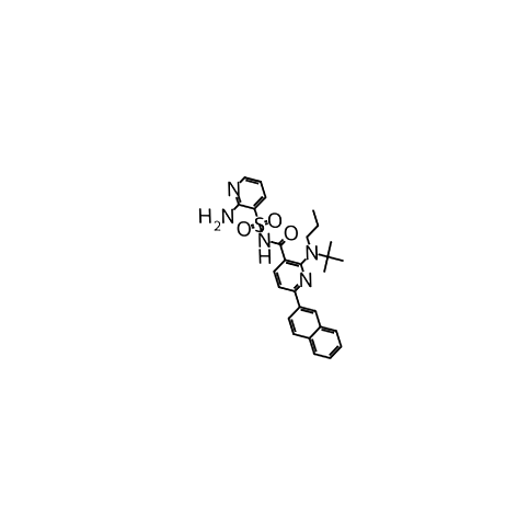 CCCN(c1nc(-c2ccc3ccccc3c2)ccc1C(=O)NS(=O)(=O)c1cccnc1N)C(C)(C)C